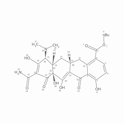 CCCCOC(=O)c1ccc(O)c2c1C[C@H]1C[C@H]3[C@H](N(C)C)C(O)=C(C(N)=O)C(=O)[C@@]3(O)C(O)=C1C2=O